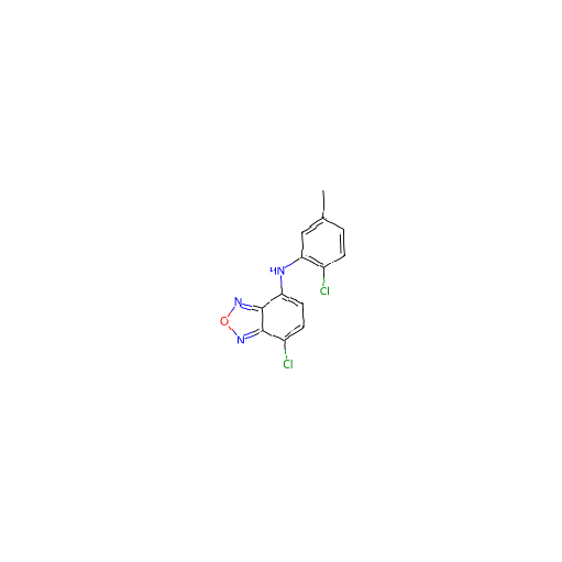 Cc1ccc(Cl)c(Nc2ccc(Cl)c3nonc23)c1